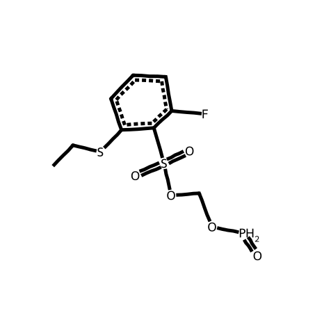 CCSc1cccc(F)c1S(=O)(=O)OCO[PH2]=O